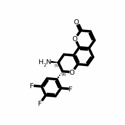 N[C@H]1Cc2c(ccc3ccc(=O)oc23)O[C@@H]1c1cc(F)c(F)cc1F